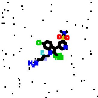 Cc1c(-c2cncc(S(=O)(=O)N(C)C)c2)c2ccc(Cl)cc2n1C/C(F)=C/CN.Cl.Cl